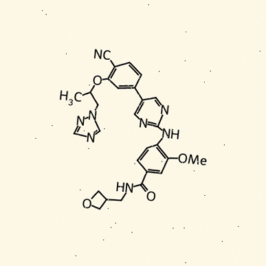 COc1cc(C(=O)NCC2COC2)ccc1Nc1ncc(-c2ccc(C#N)c(OC(C)Cn3cncn3)c2)cn1